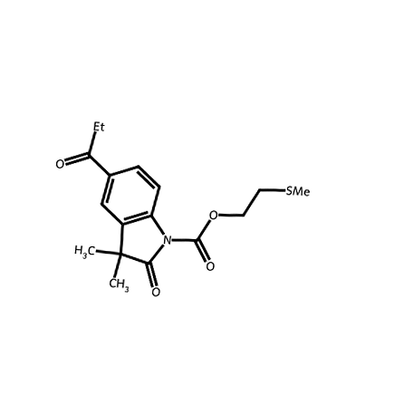 CCC(=O)c1ccc2c(c1)C(C)(C)C(=O)N2C(=O)OCCSC